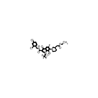 CCOC(=O)CC1CCCN(c2c(F)cc3c(=O)c(C(=O)NCc4ccc(Cl)cc4Cl)cn(CC(F)(F)F)c3c2OC)C1